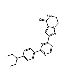 CCN(CC)c1ccc(-c2nccc(-c3cc4n(n3)CCNC4=O)n2)cc1